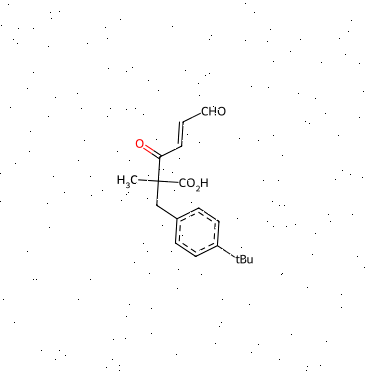 CC(Cc1ccc(C(C)(C)C)cc1)(C(=O)O)C(=O)C=CC=O